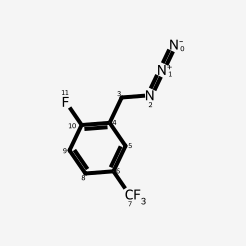 [N-]=[N+]=NCc1cc(C(F)(F)F)ccc1F